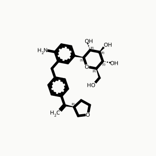 C=C(c1ccc(Cc2cc([C@@H]3O[C@H](CO)[C@@H](O)[C@H](O)[C@H]3O)ccc2N)cc1)[C@H]1CCOC1